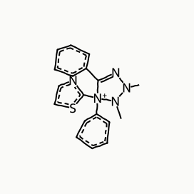 CN1N=C(c2ccccc2)[N+](c2ccccc2)(c2nccs2)N1C